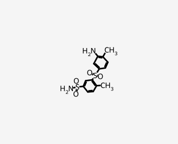 Cc1ccc(S(=O)(=O)c2cc(S(N)(=O)=O)ccc2C)cc1N